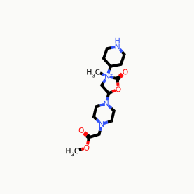 COC(=O)CN1CCN(C2C[N+](C)(C3CCNCC3)C(=O)O2)CC1